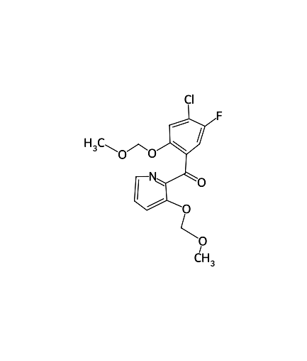 COCOc1cc(Cl)c(F)cc1C(=O)c1ncccc1OCOC